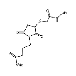 CCCNC(=O)CSC1CC(=O)N(CCCC(=O)NC)C1=O